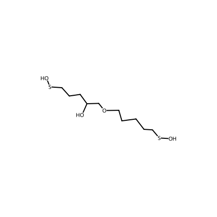 OSCCCCCOCC(O)CCCSO